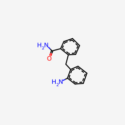 NC(=O)c1ccccc1Cc1ccccc1N